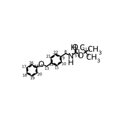 CC(C)(C)OC(=O)NCc1ccc(COc2ccccc2)cc1